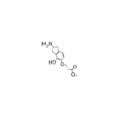 COC(=O)CCOc1ccc2c(c1O)CC(N)C2